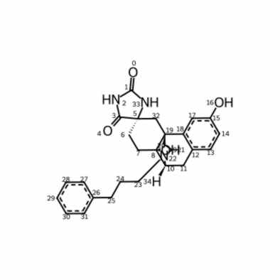 O=C1NC(=O)[C@@]2(CC[C@@]3(O)[C@H]4Cc5ccc(O)cc5[C@@]3(CCN4CCCc3ccccc3)C2)N1